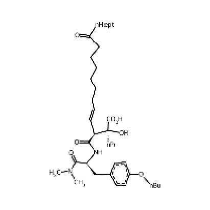 CCCCCCCC(=O)CCCCCC/C=C/[C@H](C(=O)N[C@@H](Cc1ccc(OCCCC)cc1)C(=O)N(C)C)[C@@](O)(CCC)C(=O)O